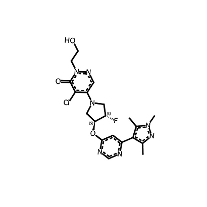 Cc1nn(C)c(C)c1-c1cc(O[C@H]2CN(c3cnn(CCO)c(=O)c3Cl)C[C@@H]2F)ncn1